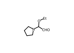 CCOC(C=O)N1CCCC1